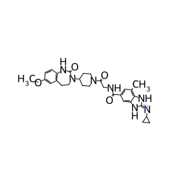 COc1ccc2c(c1)CCN(C1CCN(C(=O)CNC(=O)c3cc(C)c4[nH]/c(=N/C5CC5)[nH]c4c3)CC1)C(=O)N2